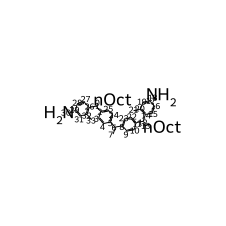 CCCCCCCCC(c1ccc(C(C)c2ccc(C(CCCCCCCC)c3ccc(N)cc3C)cc2)cc1)c1ccc(N)cc1C